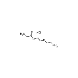 Cl.NCCOC=COC(=O)CN